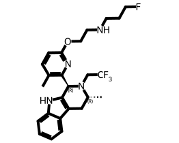 Cc1ccc(OCCNCCCF)nc1[C@@H]1c2[nH]c3ccccc3c2C[C@@H](C)N1CC(F)(F)F